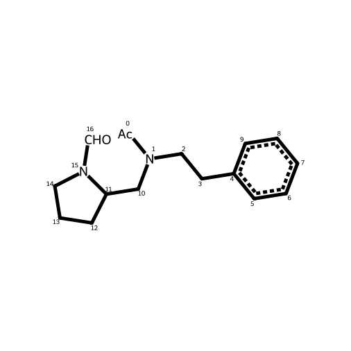 CC(=O)N(CCc1ccccc1)CC1CCCN1C=O